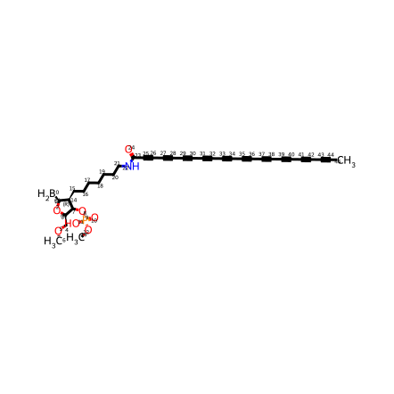 B[C@@H]1O[C@H](COC)C(OP(=O)(O)OC)[C@@H]1CCCCCCCNC(=O)C#CC#CC#CC#CC#CC#CC#CC#CC#CC#CC